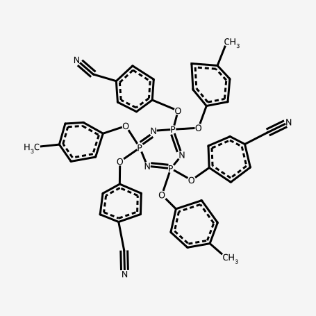 Cc1ccc(OP2(Oc3ccc(C#N)cc3)=NP(Oc3ccc(C)cc3)(Oc3ccc(C#N)cc3)=NP(Oc3ccc(C)cc3)(Oc3ccc(C#N)cc3)=N2)cc1